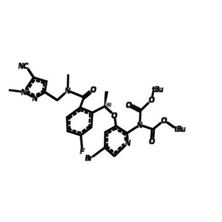 C[C@@H](Oc1cc(Br)cnc1N(C(=O)OC(C)(C)C)C(=O)OC(C)(C)C)c1cc(F)ccc1C(=O)N(C)Cc1cc(C#N)n(C)n1